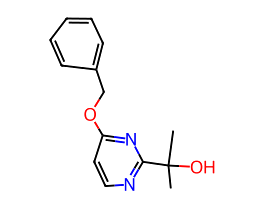 CC(C)(O)c1nccc(OCc2ccccc2)n1